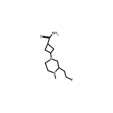 CN1CCN(C2CC(C(N)=O)C2)CC1CCF